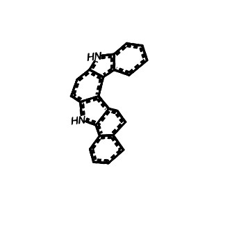 c1ccc2c(c1)ccc1c2[nH]c2ccc3[nH]c4ccccc4c3c21